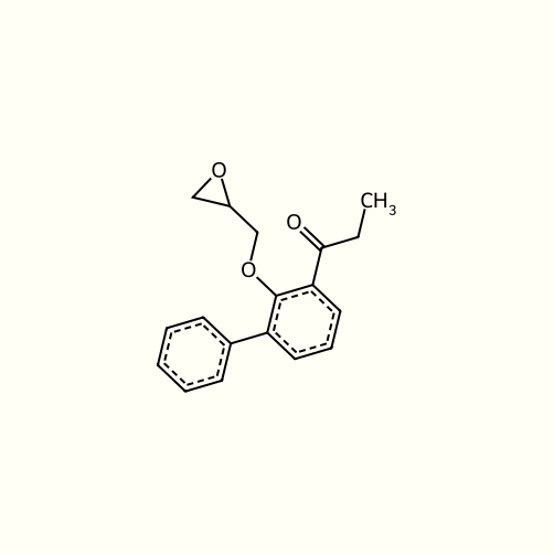 CCC(=O)c1cccc(-c2ccccc2)c1OCC1CO1